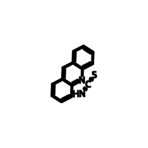 N=C=S.c1ccc2nc3ccccc3cc2c1